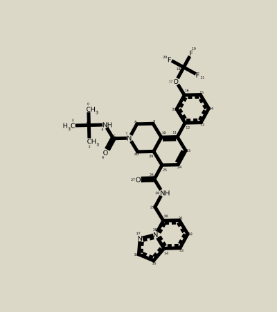 CC(C)(C)NC(=O)N1CCC2=C(c3cccc(OC(F)(F)F)c3)C=CC(C(=O)NCc3cccc4ccnn34)C2C1